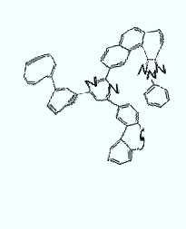 c1ccc(-c2cccc(-c3cc(-c4ccc5sc6ccccc6c5c4)nc(-c4ccc5ccc6ccc7nn(-c8ccccc8)nc7c6c5c4)n3)c2)cc1